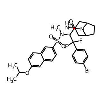 CC(C)Oc1ccc2cc(S(=O)(=O)N(C)[C@@H](C(=O)N3C4CCC3CC(N)C4)C(F)(F)c3ccc(Br)cc3)ccc2c1